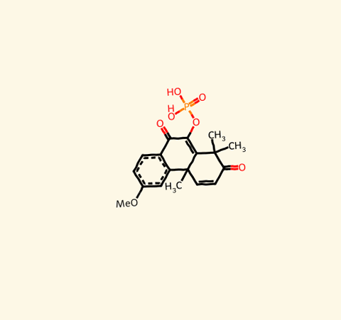 COc1ccc2c(c1)C1(C)C=CC(=O)C(C)(C)C1=C(OP(=O)(O)O)C2=O